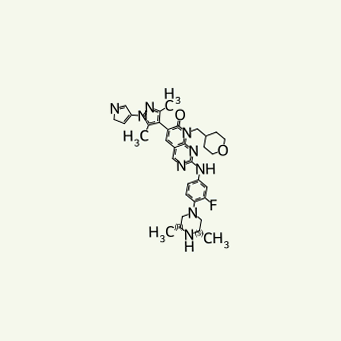 Cc1nn(C2=CCN=C2)c(C)c1-c1cc2cnc(Nc3ccc(N4C[C@@H](C)N[C@@H](C)C4)c(F)c3)nc2n(CC2CCOCC2)c1=O